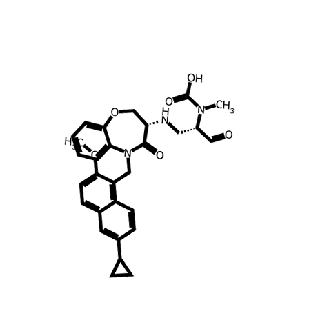 COc1ccc2cc(C3CC3)ccc2c1CN1C(=O)[C@@H](NC[C@@H](C=O)N(C)C(=O)O)COc2ccccc21